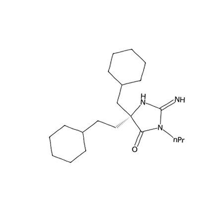 CCCN1C(=N)N[C@](CCC2CCCCC2)(CC2CCCCC2)C1=O